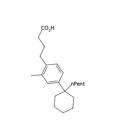 CCCCCC1(c2ccc(CCCC(=O)O)c(C)c2)CCCCC1